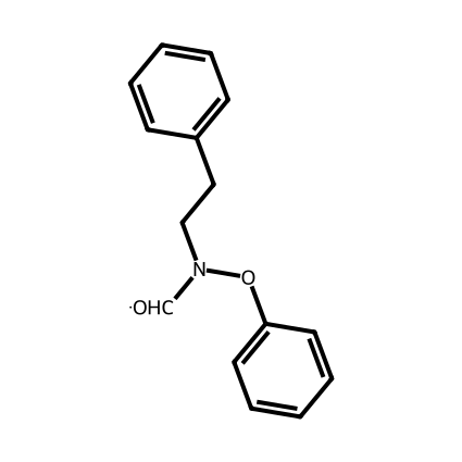 O=[C]N(CCc1ccccc1)Oc1ccccc1